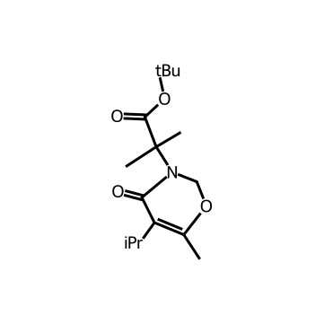 CC1=C(C(C)C)C(=O)N(C(C)(C)C(=O)OC(C)(C)C)CO1